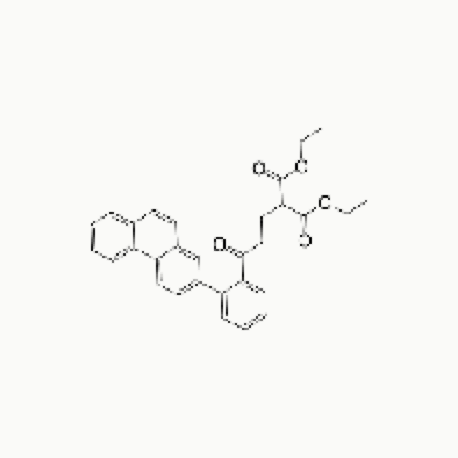 CCOC(=O)C(CCC(=O)c1ccccc1-c1ccc2c(ccc3ccccc32)c1)C(=O)OCC